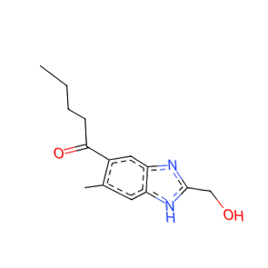 CCCCC(=O)c1cc2nc(CO)[nH]c2cc1C